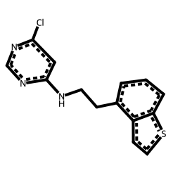 Clc1cc(NCCc2cccc3sccc23)ncn1